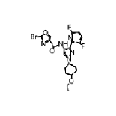 CCOC1CCC(n2cc(NC(=O)c3coc(Br)n3)c(-c3nc(F)ccc3F)n2)CC1